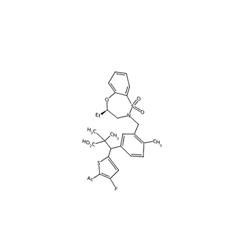 CC[C@@H]1CN(Cc2cc(C(c3cc(F)c(C(C)=O)s3)C(C)(C)C(=O)O)ccc2C)S(=O)(=O)c2ccccc2O1